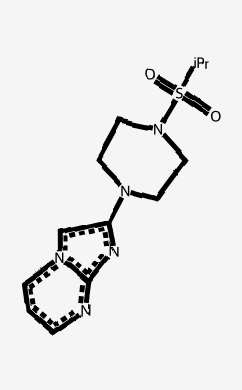 CC(C)S(=O)(=O)N1CCN(c2cn3cccnc3n2)CC1